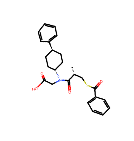 C[C@H](CSC(=O)c1ccccc1)C(=O)N(CC(=O)O)[C@H]1CC[C@H](c2ccccc2)CC1